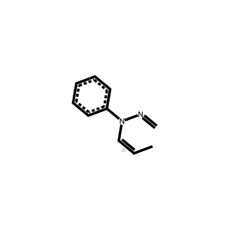 C=NN(/C=C\C)c1ccccc1